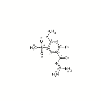 CCc1cc(F)c(C(=O)N=C(N)N)cc1S(C)(=O)=O